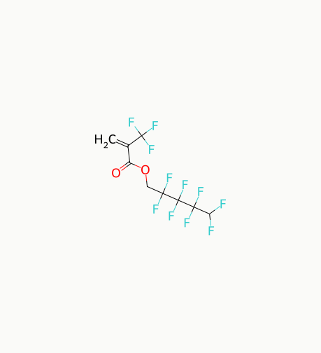 C=C(C(=O)OCC(F)(F)C(F)(F)C(F)(F)C(F)F)C(F)(F)F